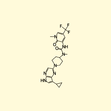 CN(C(=O)Nc1cc(C(F)(F)F)cn(C)c1=O)C1CCN(c2cnc3[nH]cc(C4CC4)c3n2)CC1